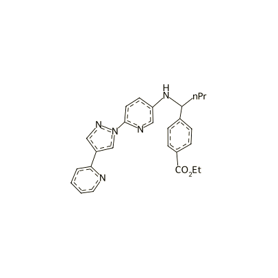 CCCC(Nc1ccc(-n2cc(-c3ccccn3)cn2)nc1)c1ccc(C(=O)OCC)cc1